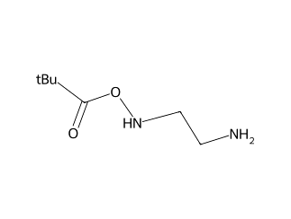 CC(C)(C)C(=O)ONCCN